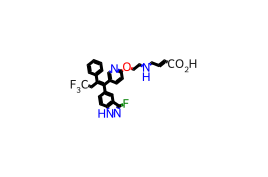 O=C(O)/C=C/CNCCOc1ccc(/C(=C(/CC(F)(F)F)c2ccccc2)c2ccc3[nH]nc(F)c3c2)cn1